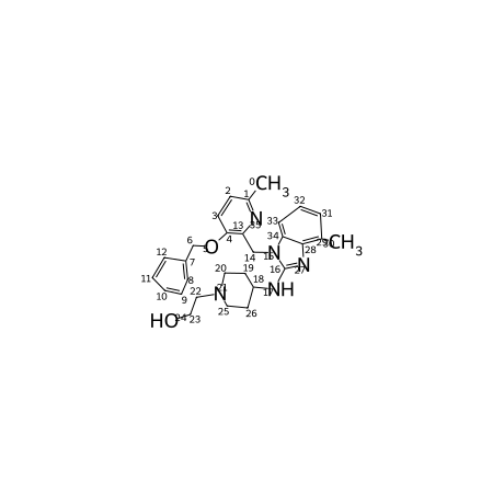 Cc1ccc(OCc2ccccc2)c(Cn2c(NC3CCN(CCO)CC3)nc3c(C)cccc32)n1